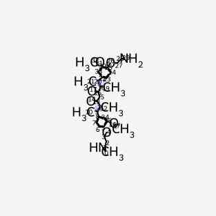 CNCCOc1ccc(/C(C)=C(\C)C(=O)CC(=O)/C(C)=C(\C)c2ccc(OCCN)c(OC)c2)cc1OC